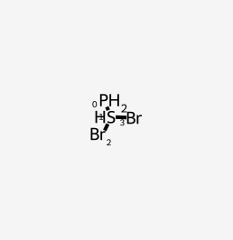 P[SH](Br)Br